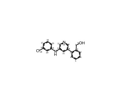 OCc1ccccc1-c1cncc(Nc2cccc(Cl)c2)c1